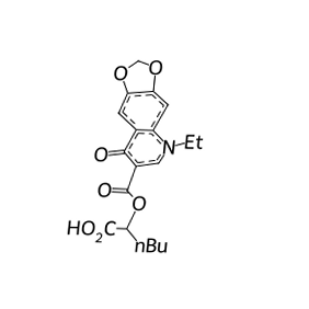 CCCCC(OC(=O)c1cn(CC)c2cc3c(cc2c1=O)OCO3)C(=O)O